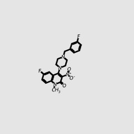 Cn1c(=O)c([N+](=O)[O-])c(N2CCN(Cc3cccc(F)c3)CC2)c2cc(F)ccc21